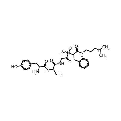 C[C@@H](NC(=O)[C@@H](N)Cc1ccc(O)cc1)C(=O)NCC(=O)[N+](C)([O-])[C@@H](Cc1ccccc1)C(=O)NCCCN(C)C